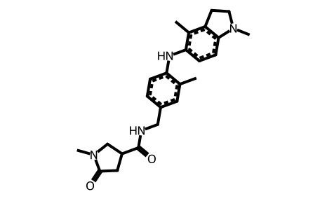 Cc1cc(CNC(=O)C2CC(=O)N(C)C2)ccc1Nc1ccc2c(c1C)CCN2C